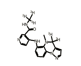 [2H]C([2H])([2H])NC(=O)c1cnccc1Nc1cccc2c1N(C)C([2H])([2H])c1ccnn1-2